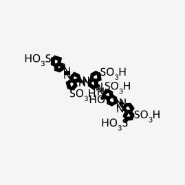 O=S(=O)(O)c1ccc2cc(N=Nc3ccc(N=Nc4ccc(N=Nc5c(S(=O)(=O)O)cc6cc(-n7nc8ccc9c(S(=O)(=O)O)cc(S(=O)(=O)O)cc9c8n7)ccc6c5O)c5cc(S(=O)(=O)O)ccc45)c4cc(S(=O)(=O)O)ccc34)ccc2c1